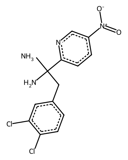 CC(N)(Cc1ccc(Cl)c(Cl)c1)c1ccc([N+](=O)[O-])cn1.N